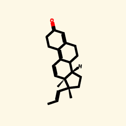 C/C=C/[C@@]1(C)CC[C@H]2C3CCC4=CC(=O)CCC4=C3C=C[C@@]21C